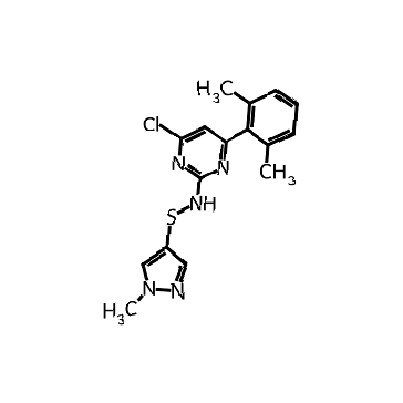 Cc1cccc(C)c1-c1cc(Cl)nc(NSc2cnn(C)c2)n1